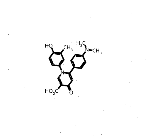 Cc1cc(-n2cc(C(=O)O)c(=O)cc2-c2ccc(N(C)C)cc2)ccc1O